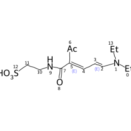 CCN(/C=C/C=C(\C(C)=O)C(=O)NCCS(=O)(=O)O)CC